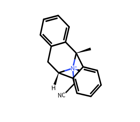 C[C@@]12c3ccccc3C[C@@H](c3ccccc31)[N@@+]2(C)CC#N